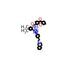 Cc1cc(NC(=O)c2ccc3c(=O)c4ccccc4oc3c2)c(-c2nnn(-c3ccc(CCN4CCc5ccccc5C4)cc3)n2)cc1C